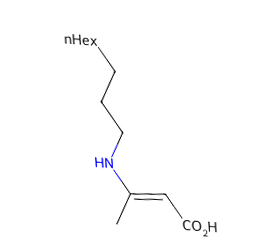 CCCCCCCCCNC(C)=CC(=O)O